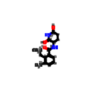 O=C(O)Cc1c(C(=O)NC2CCC(=O)NC2=O)cccc1[N+](=O)[O-]